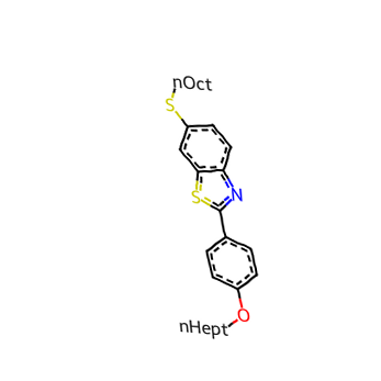 CCCCCCCCSc1ccc2nc(-c3ccc(OCCCCCCC)cc3)sc2c1